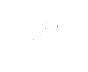 C=C1[C@@H](OC(=O)C(C)C)[C@@H](C(C)(C)C(=O)OC)C[C@@H]1n1cnc2c(=O)[nH]c(N)nc21